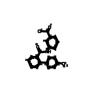 O=C(Cl)c1cccc(NC(=O)c2ccccc2-c2ccc(C(F)(F)F)cc2)c1